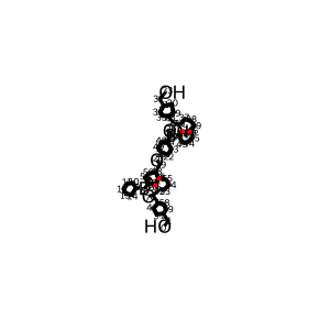 OCc1ccc(C(OB(c2ccccc2)c2ccc(COc3ccc(B(OC(c4ccc(CO)cc4)c4ccccn4)c4ccccc4)cc3)cc2)c2ccccn2)cc1